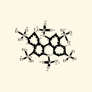 CC[Si](CC)(CC)c1ccc2c(-c3c(OS(=O)(=O)C(F)(F)F)cc([Si](CC)(CC)CC)c4cc([Si](CC)(CC)CC)ccc34)c(OS(=O)(=O)C(F)(F)F)cc([Si](CC)(CC)CC)c2c1